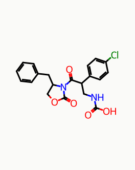 O=C(O)NCC(C(=O)N1C(=O)OCC1Cc1ccccc1)c1ccc(Cl)cc1